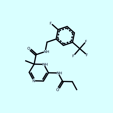 CCC(=O)NC1=CN=CC(C)(C(=O)NCc2cc(C(F)(F)F)ccc2F)N1